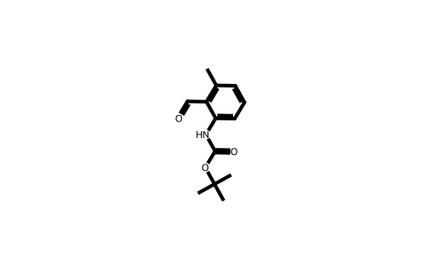 Cc1cccc(NC(=O)OC(C)(C)C)c1C=O